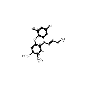 O=C(O)c1cc(Oc2ccc(Cl)cc2Cl)c(CC=CCO)cc1[N+](=O)[O-]